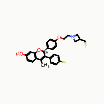 CC1=C(c2ccc(F)cc2)[C@H](c2ccc(OCCN3CC(CF)C3)cc2)Oc2cc(O)ccc21